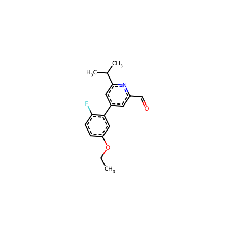 CCOc1ccc(F)c(-c2cc(C=O)nc(C(C)C)c2)c1